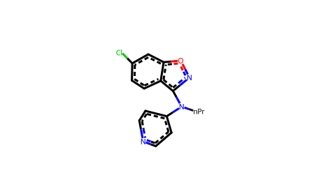 CCCN(c1ccncc1)c1noc2cc(Cl)ccc12